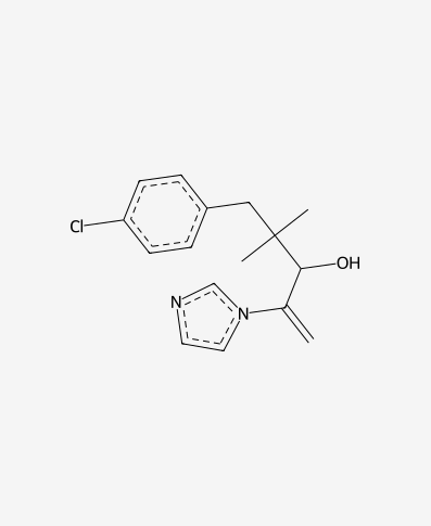 C=C(C(O)C(C)(C)Cc1ccc(Cl)cc1)n1ccnc1